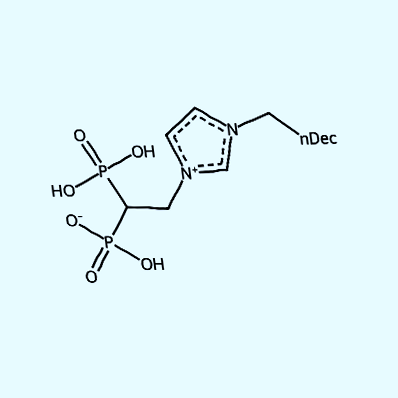 CCCCCCCCCCCn1cc[n+](CC(P(=O)([O-])O)P(=O)(O)O)c1